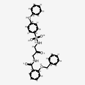 O=C(CNC(=O)c1ccccc1OCc1ccccc1)CNS(=O)(=O)c1ccc(Oc2ccccc2)cc1